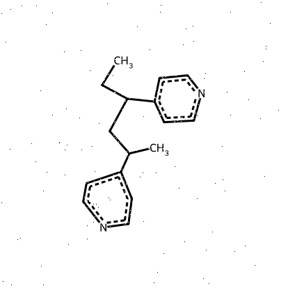 CCC(CC(C)c1ccncc1)c1ccncc1